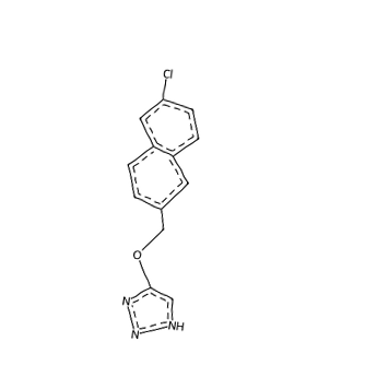 Clc1ccc2cc(COc3c[nH]nn3)ccc2c1